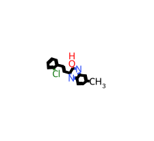 Cc1ccc2c(c1)=NC(O)C(/C=C/c1ccccc1Cl)N=2